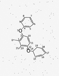 Cc1c(Oc2ccccc2)ccc(OC2C=CC=CC2)c1C